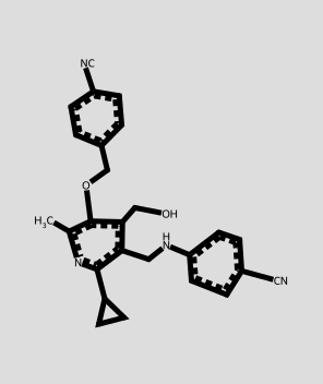 [C-]#[N+]c1ccc(COc2c(C)nc(C3CC3)c(CNc3ccc(C#N)cc3)c2CO)cc1